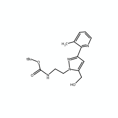 Cc1cccnc1-c1cc(CO)n(CCNC(=O)OC(C)(C)C)n1